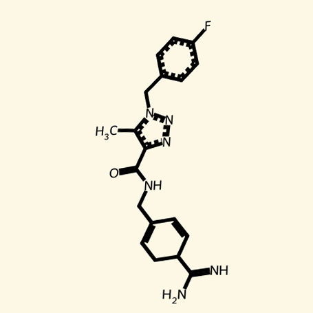 Cc1c(C(=O)NCC2=CCC(C(=N)N)C=C2)nnn1Cc1ccc(F)cc1